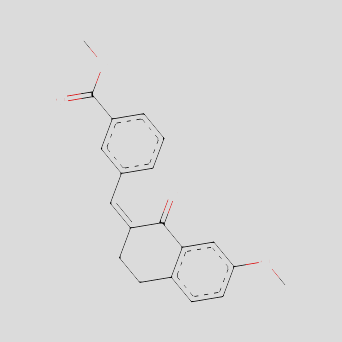 COC(=O)c1cccc(C=C2CCc3ccc(OC)cc3C2=O)c1